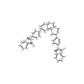 Cn1c(-c2ccc(-c3ccc4ccc5ccc(-c6ccc(-c7nc8ccccc8n7C)cc6)cc5c4c3)cc2)nc2ccccc21